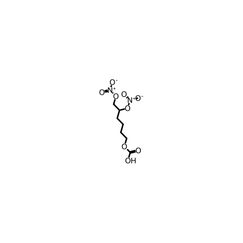 O=C(O)OCCCCC(CO[N+](=O)[O-])O[N+](=O)[O-]